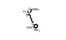 COC(=O)CN(C)C(=O)CCCCCOc1cccc([N+](=O)[O-])c1C=O